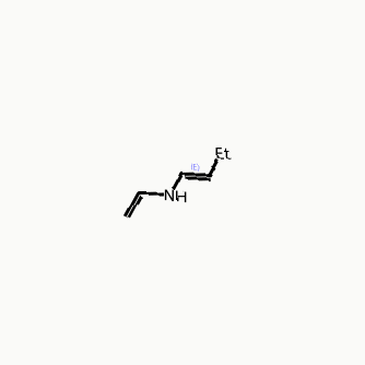 C=CN/C=C/CC